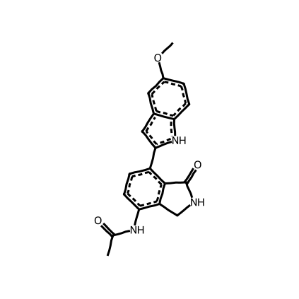 COc1ccc2[nH]c(-c3ccc(NC(C)=O)c4c3C(=O)NC4)cc2c1